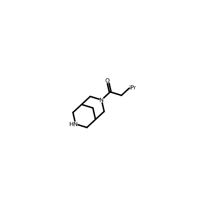 CC(C)CC(=O)N1CC2CNCC(C2)C1